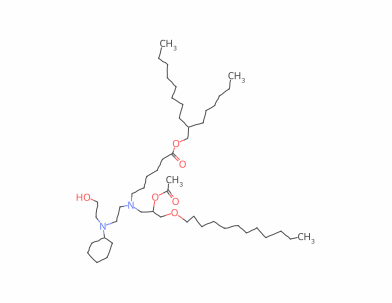 CCCCCCCCCCCCOCC(CN(CCCCCC(=O)OCC(CCCCCC)CCCCCCCC)CCN(CCO)C1CCCCC1)OC(C)=O